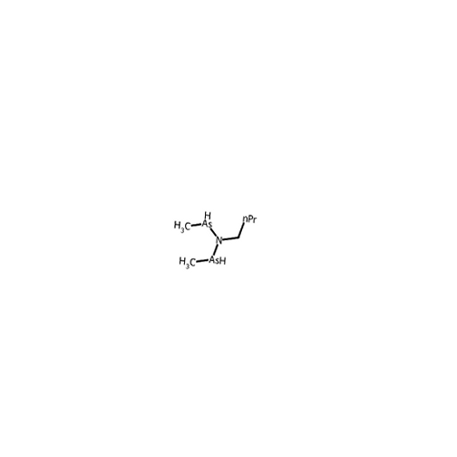 CCCCN([AsH]C)[AsH]C